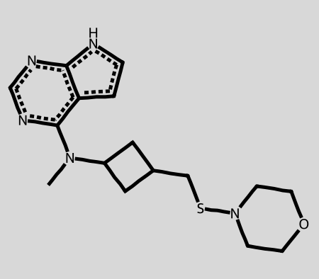 CN(c1ncnc2[nH]ccc12)C1CC(CSN2CCOCC2)C1